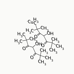 CC(C)(C)C(=O)C(O)C(=O)C(C)(C)C.CC(C)(C)C(=O)C(O)C(=O)C(C)(C)C.[Cu]